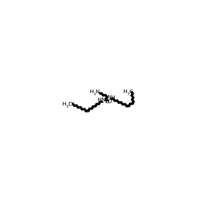 CCCCC/C=C\C/C=C\CCCCCCCC(=O)NC(CCCCN)C(=O)NCCCCCCCC/C=C\CCCCCCCC